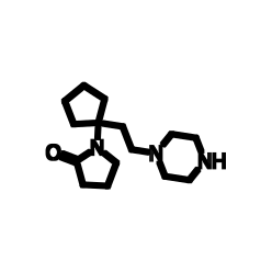 O=C1CCCN1C1(CCN2CCNCC2)CCCC1